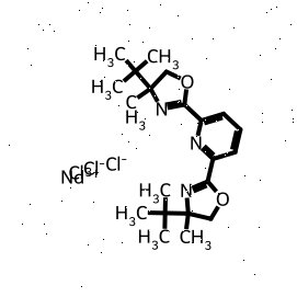 CC(C)(C)C1(C)COC(c2cccc(C3=NC(C)(C(C)(C)C)CO3)n2)=N1.[Cl-].[Cl-].[Cl-].[Nd+3]